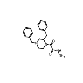 NNC(=O)C(=O)N1CCN(Cc2ccccc2)C[C@H]1Cc1ccccc1